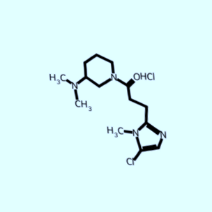 CN(C)C1CCCN(C(=O)CCc2ncc(Cl)n2C)C1.Cl